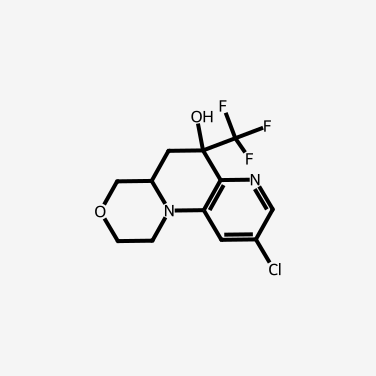 OC1(C(F)(F)F)CC2COCCN2c2cc(Cl)cnc21